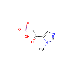 Cn1cncc1C(=O)CP(=O)(O)O